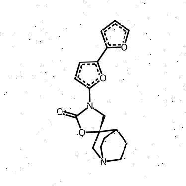 O=C1O[C@]2(CN3CCC2CC3)CN1c1ccc(-c2ccco2)o1